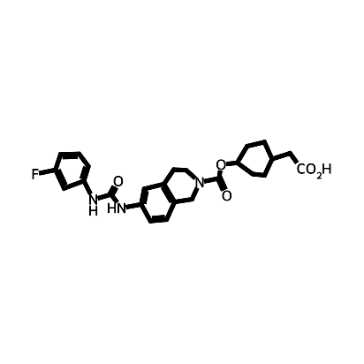 O=C(O)CC1CCC(OC(=O)N2CCc3cc(NC(=O)Nc4cccc(F)c4)ccc3C2)CC1